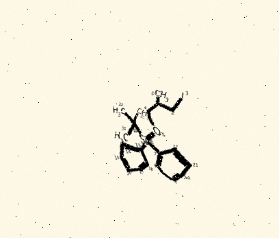 CC(CI)CO[Si](c1ccccc1)(c1ccccc1)C(C)(C)C